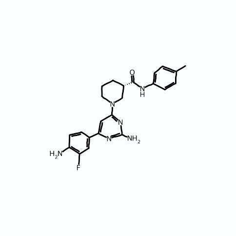 Cc1ccc(NC(=O)[C@H]2CCCN(c3cc(-c4ccc(N)c(F)c4)nc(N)n3)C2)cc1